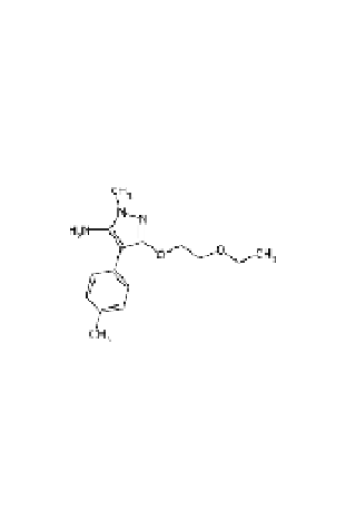 CCOCCOc1nn(C)c(N)c1-c1ccc(C)cc1